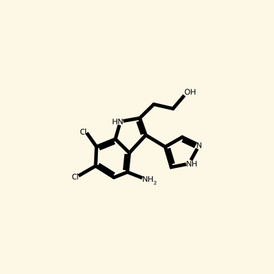 Nc1cc(Cl)c(Cl)c2[nH]c(CCO)c(-c3cn[nH]c3)c12